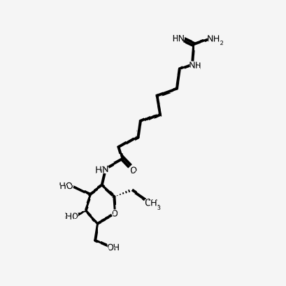 CC[C@@H]1OC(CO)[C@@H](O)C(O)C1NC(=O)CCCCCCCNC(=N)N